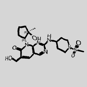 C[C@@]1(O)CCC[C@H]1n1c(=O)c(CO)cc2cnc(NC3CCN(S(C)(=O)=O)CC3)nc21